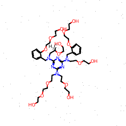 CC(CN(Cc1ccccc1OCCOCCO)c1nc(N(CCOCCO)CCOCCOCCO)nc(N(CCOCCO)Cc2ccccc2OCCOCCO)n1)OCCO